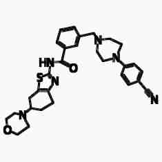 N#Cc1ccc(N2CCN(Cc3cccc(C(=O)Nc4nc5c(s4)CC(N4CCOCC4)CC5)c3)CC2)cc1